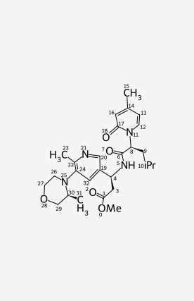 COC(=O)C[C@H](NC(=O)[C@H](CC(C)C)n1ccc(C)cc1=O)c1cnc(C)c(N2CCOC[C@@H]2C)c1